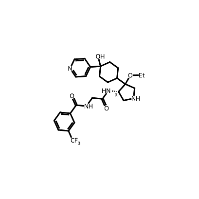 CCOC1(C2CCC(O)(c3ccncc3)CC2)CNC[C@@H]1NC(=O)CNC(=O)c1cccc(C(F)(F)F)c1